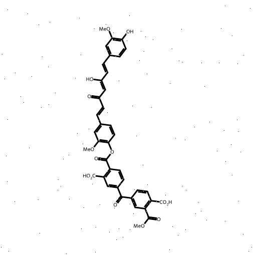 COC(=O)c1cc(C(=O)c2ccc(C(=O)Oc3ccc(/C=C/C(=O)/C=C(O)/C=C/c4ccc(O)c(OC)c4)cc3OC)c(C(=O)O)c2)ccc1C(=O)O